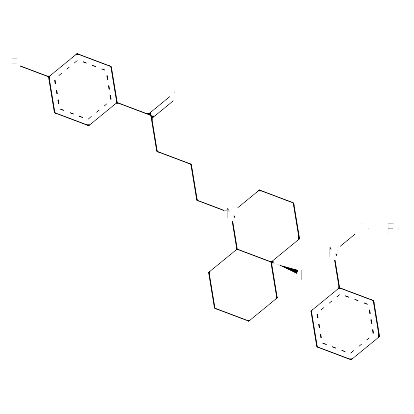 CCOC(=O)N(c1ccccc1)[C@H]1CCN(CCCC(=O)c2ccc(F)cc2)C2CCCC[C@H]21